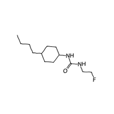 CCCCC1CCC(NC(=O)NCCF)CC1